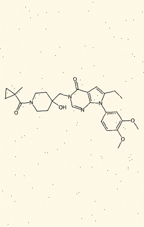 CCc1cc2c(=O)n(CC3(O)CCN(C(=O)C4(C)CC4)CC3)cnc2n1-c1ccc(OC)c(OC)c1